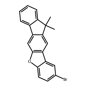 CC1(C)c2ccccc2-c2cc3oc4ccc(Br)cc4c3cc21